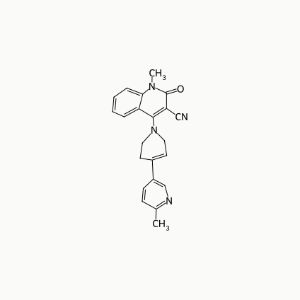 Cc1ccc(C2=CCN(c3c(C#N)c(=O)n(C)c4ccccc34)CC2)cn1